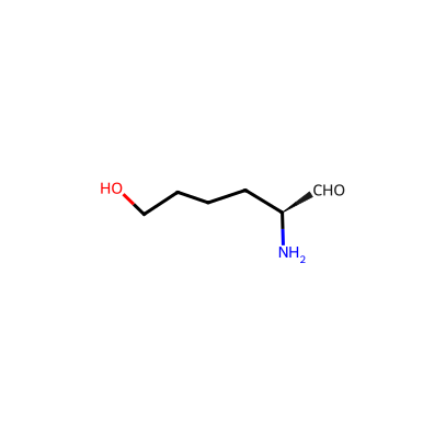 N[C@H](C=O)CCCCO